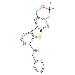 CC1(C)Cc2nc3sc4c(NCc5ccccc5)ncnc4c3cc2CO1